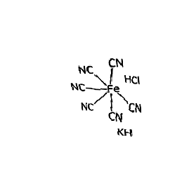 Cl.N#[C][Fe]([C]#N)([C]#N)([C]#N)([C]#N)[C]#N.[KH]